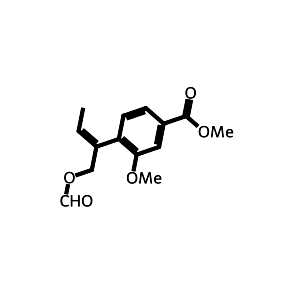 C/C=C(/COC=O)c1ccc(C(=O)OC)cc1OC